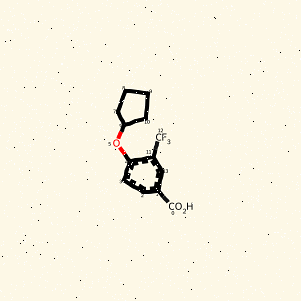 O=C(O)c1ccc(OC2CCCC2)c(C(F)(F)F)c1